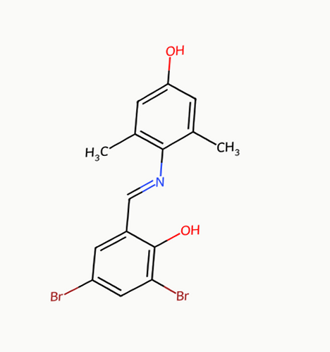 Cc1cc(O)cc(C)c1N=Cc1cc(Br)cc(Br)c1O